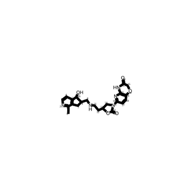 Cc1nccc2c1CC(CNCCC1CN(c3ccc4c(n3)NC(=O)CO4)C(=O)O1)C2O